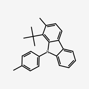 Cc1ccc(-n2c3ccccc3c3ccc(C)c(C(C)(C)C)c32)cc1